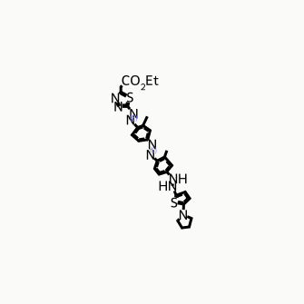 CCOC(=O)Cc1nnc(/N=N/c2ccc(/N=N/c3ccc(NNc4ccc(N5CCCC5)s4)cc3C)cc2C)s1